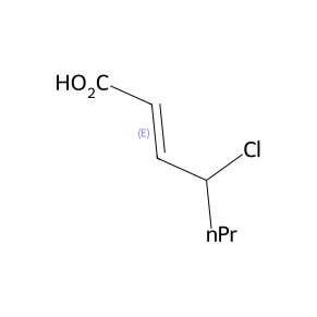 CCCC(Cl)/C=C/C(=O)O